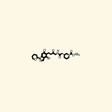 CC(C)(C)OC(=O)N1CCC[C@@H](CC(=O)NCC(=O)CCc2c(Cl)cc3c(cnn3C3CCCCO3)c2Br)C1